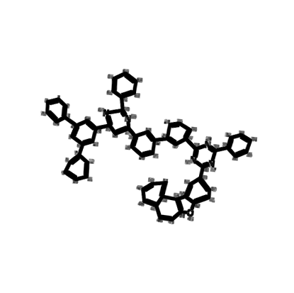 c1ccc(-c2cc(-c3ccccc3)cc(-c3cc(-c4cccc(-c5cccc(-c6nc(-c7ccccc7)nc(-c7ccc8oc9ccc%10ccccc%10c9c8c7)n6)c5)c4)nc(-c4ccccc4)n3)c2)cc1